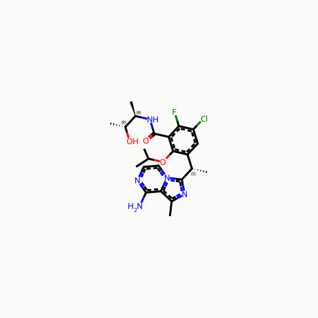 Cc1nc([C@@H](C)c2cc(Cl)c(F)c(C(=O)N[C@H](C)[C@@H](C)O)c2OC(C)C)n2ccnc(N)c12